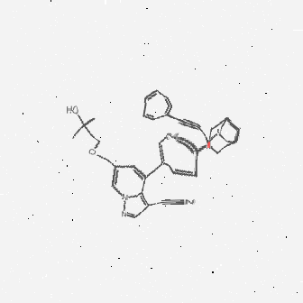 CC(C)(O)COc1cc(-c2ccc(N3CC4CC(C3)N4CC#Cc3ccccc3)nc2)c2c(C#N)cnn2c1